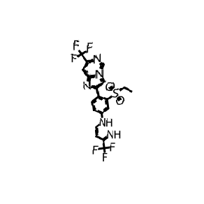 CCS(=O)(=O)c1cc(N/C=C\C(=N)C(F)(F)F)ccc1-c1cn2cnc(C(F)(F)F)cc2n1